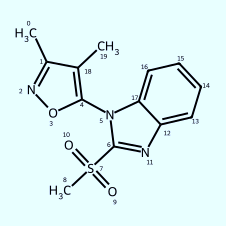 Cc1noc(-n2c(S(C)(=O)=O)nc3ccccc32)c1C